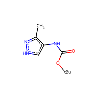 Cc1n[nH]cc1NC(=O)OC(C)(C)C